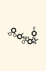 COc1ccccc1Oc1ccc(NC(=O)c2ccc3nc(C)n(-c4ccc(F)cc4)c3c2)c(C)c1